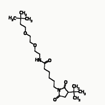 CC(C)(C)CCOCCOCCNC(=O)CCCCCN1C(=O)CC(C(C)(C)C)C1=O